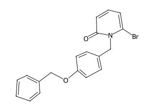 O=c1cccc(Br)n1Cc1ccc(OCc2ccccc2)cc1